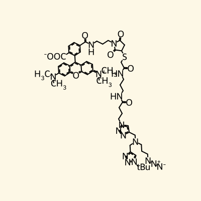 CN(C)c1ccc2c(-c3cc(C(=O)NCCCN4C(=O)CC(SCC(=O)NCCCNC(=O)CCCn5cc(CN(CCCN=[N+]=[N-])Cc6cn(C(C)(C)C)nn6)nn5)C4=O)ccc3C(=O)[O-])c3ccc(=[N+](C)C)cc-3oc2c1